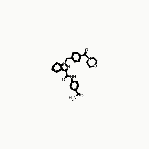 NC(=O)c1ccc(NC(=O)c2nn(Cc3ccc(C(=O)N4CCOCC4)cc3)c3ccccc23)cc1